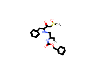 CC(C)CC(CNC(Cc1ccccc1)C(=O)C[S+](C)[O-])NC(=O)OCc1ccccc1